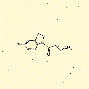 CCCC(=O)N1CCc2cc(F)ccc21